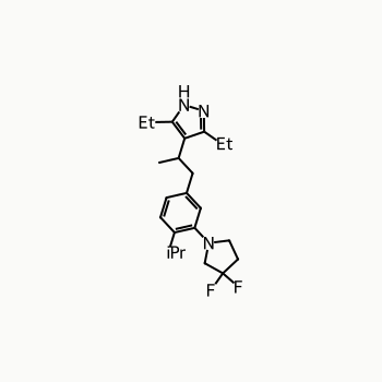 CCc1n[nH]c(CC)c1C(C)Cc1ccc(C(C)C)c(N2CCC(F)(F)C2)c1